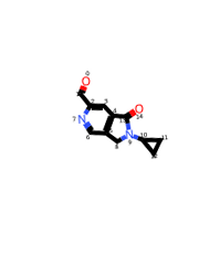 O=Cc1cc2c(cn1)CN(C1CC1)C2=O